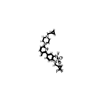 Cc1ccc(N2CCN(CC3CC3)CC2)nc1-c1ccc2c(c1)N(C)S(=O)(=O)N2CC1CC1(F)F